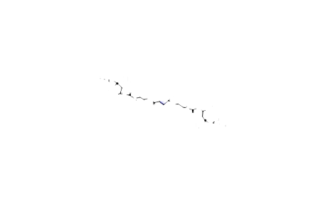 CC(CC(C)(C)OOC(C)(C)C)OC(=O)NCCOC(=O)/C=C/C(=O)OCCNC(=O)OC(C)CC(C)(C)OOC(C)(C)C